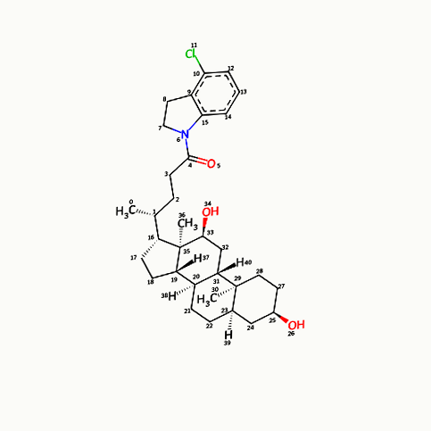 C[C@H](CCC(=O)N1CCc2c(Cl)cccc21)[C@H]1CC[C@H]2[C@@H]3CC[C@@H]4C[C@H](O)CC[C@]4(C)[C@H]3C[C@H](O)[C@]12C